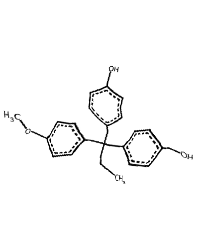 CCC(c1ccc(O)cc1)(c1ccc(O)cc1)c1ccc(OC)cc1